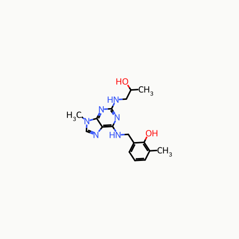 Cc1cccc(CNc2nc(NCC(C)O)nc3c2ncn3C)c1O